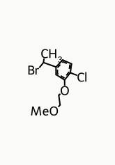 COCCOc1cc(C(C)Br)ccc1Cl